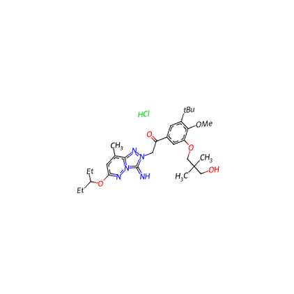 CCC(CC)Oc1cc(C)c2nn(CC(=O)c3cc(OCC(C)(C)CO)c(OC)c(C(C)(C)C)c3)c(=N)n2n1.Cl